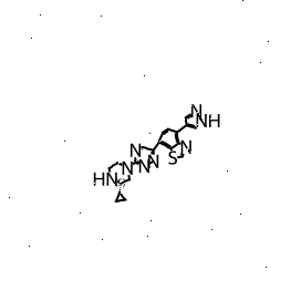 c1nc2c(-c3cn[nH]c3)ccc(-c3cnc(N4CCN[C@@H](C5CC5)C4)nn3)c2s1